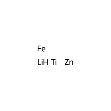 [Fe].[LiH].[Ti].[Zn]